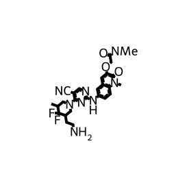 CNC(=O)COc1cc2cc(Nc3ncc(C#N)c(N4CC(C)C(F)(F)C(CCN)C4)n3)ccc2n(C)c1=O